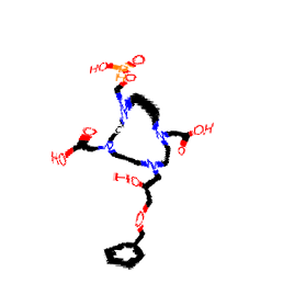 O=C(O)CN1CCN(CO[PH](=O)O)CCN(CC(=O)O)CCN(CC(O)COCc2ccccc2)CC1